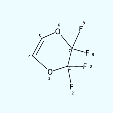 FC1(F)OC=COC1(F)F